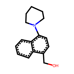 OCc1ccc(N2CCCCC2)c2ccccc12